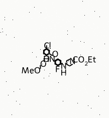 CCOC(=O)N1CCC(Nc2ccc(NC(=O)c3cc(Cl)ccc3OCOCCOC)cc2F)CC1